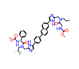 CCCN(Cc1ncc(-c2ccc3cc(-c4ccc(-c5cnc(CN(C[C@@H](C)F)C(=O)[C@H](NC(=O)OC)c6ccccc6)[nH]5)cc4)ccc3c2)[nH]1)C(=O)CNC(=O)OC